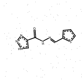 O=C(NN=Cc1cccs1)c1c[nH]nn1